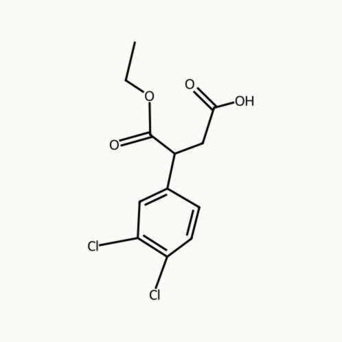 CCOC(=O)C(CC(=O)O)c1ccc(Cl)c(Cl)c1